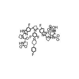 CC[C@H](NC(=O)OC)C(=O)N1CCC[C@H]1c1nc2cc([C@H]3CC[C@H](c4cc5nc([C@@H]6CCCN6C(=O)[C@@H](NC(=O)OC)[C@@H](C)OC)n(COP(=O)(O)O)c5cc4F)N3c3cc(F)c(N4CCC(c5ccc(F)cc5)CC4)c(F)c3)c(F)cc2[nH]1